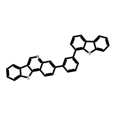 c1cc(-c2ccc3c(c2)ncc2c4ccccc4sc32)cc(-c2cccc3c2sc2ccccc23)c1